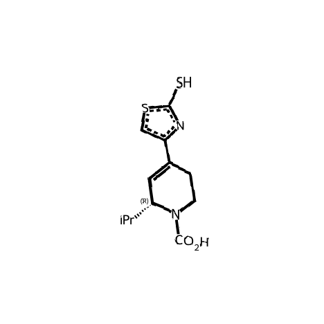 CC(C)[C@@H]1C=C(c2csc(S)n2)CCN1C(=O)O